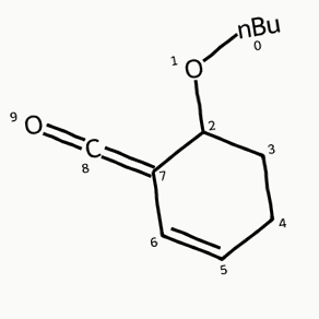 CCCCOC1CCC=CC1=C=O